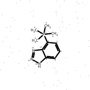 CP(C)(C)(C)c1cccc2[nH]nnc12